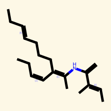 C=C(N/C(C)=C(/C=C\CC)CCC/C=C/CC)/C(C)=C/C